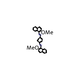 COc1ccc2ccccc2c1/C=C/c1ccc(/C=C/c2c(OC)ccc3ccccc23)cc1